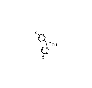 COc1ccc(C(CO)c2ccc(OC)cc2)cc1